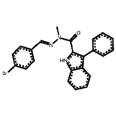 CN(N=Cc1ccc(Br)cc1)C(=O)c1[nH]c2ccccc2c1-c1ccccc1